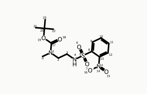 CN(CCNS(=O)(=O)c1ccccc1[N+](=O)[O-])C(=O)OC(C)(C)C